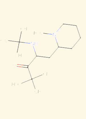 CN1CCCCC1CC(NC(C)(C)C)C(=O)C(C)(C)C